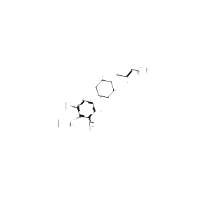 CC/C=C/C[C@H]1CC[C@H](c2cc(F)c(C(F)(F)F)c(F)c2)CC1